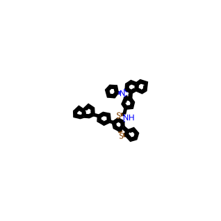 c1ccc(-n2c3cc(C4Nc5c(c(-c6ccc(-c7ccc8ccccc8c7)cc6)cc6sc7ccccc7c56)S4)ccc3c3c4ccccc4ccc32)cc1